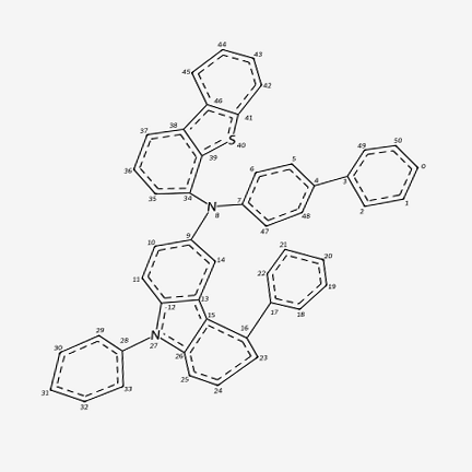 c1ccc(-c2ccc(N(c3ccc4c(c3)c3c(-c5ccccc5)cccc3n4-c3ccccc3)c3cccc4c3sc3ccccc34)cc2)cc1